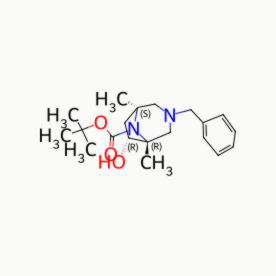 CC(C)(C)OC(=O)N1[C@@]2(C)C[C@@H](O)[C@@]1(C)CN(Cc1ccccc1)C2